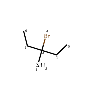 CCC([SiH3])(Br)CC